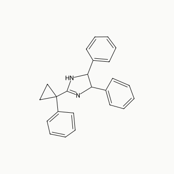 c1ccc(C2N=C(C3(c4ccccc4)CC3)NC2c2ccccc2)cc1